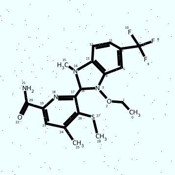 CCON1c2cc(C(F)(F)F)ccc2N(C)C1c1nc(C(N)=O)cc(C)c1SC